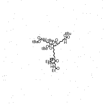 CCC(=O)NCC(NC(=O)CC)C(=O)NCCCCCCC(CN(CCCCNC(=O)OC(C)(C)C)C(=O)OC(C)(C)C)CN(CCCCNC(=O)OC(C)(C)C)C(=O)OC(C)(C)C